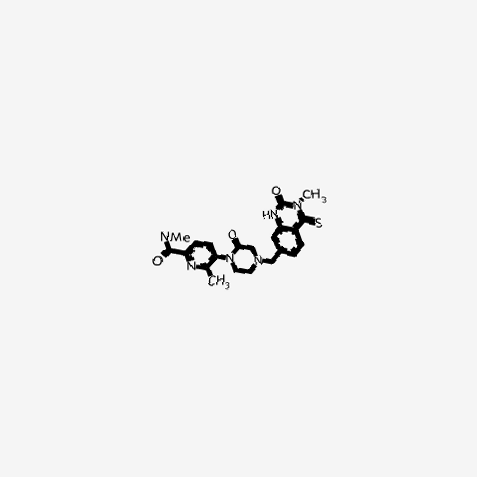 CNC(=O)c1ccc(N2CCN(Cc3ccc4c(=S)n(C)c(=O)[nH]c4c3)CC2=O)c(C)n1